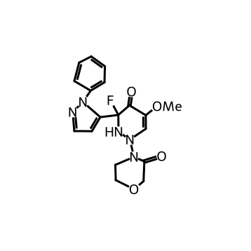 COC1=CN(N2CCOCC2=O)NC(F)(c2ccnn2-c2ccccc2)C1=O